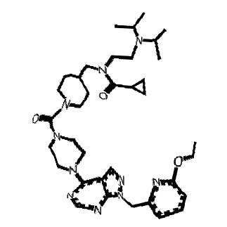 CCOc1cccc(Cn2ncc3c(N4CCN(C(=O)N5CCC(CN(CCN(C(C)C)C(C)C)C(=O)C6CC6)CC5)CC4)ncnc32)n1